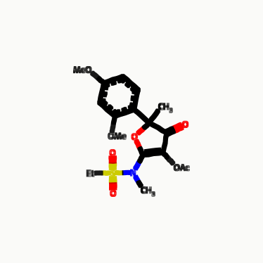 CCS(=O)(=O)N(C)C1=C(OC(C)=O)C(=O)C(C)(c2ccc(OC)cc2OC)O1